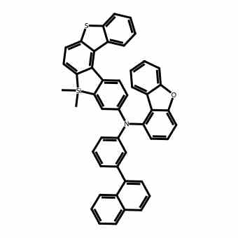 C[Si]1(C)c2cc(N(c3cccc(-c4cccc5ccccc45)c3)c3cccc4oc5ccccc5c34)ccc2-c2c1ccc1sc3ccccc3c21